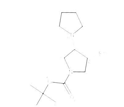 CC(C)(C)OC(=O)N1C[C@@H](F)[C@@H](N2CCCC2)C1